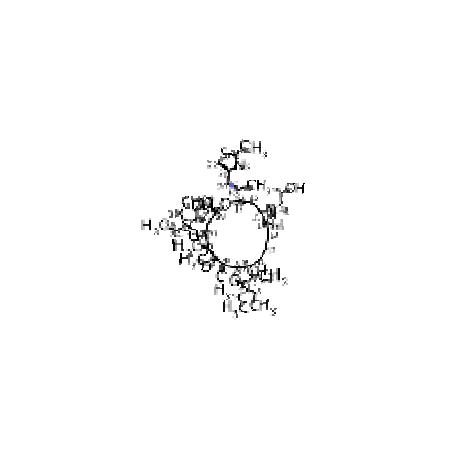 CC[Si](CC)(CC)O[C@H]1[C@@H](C)CCC[C@@H]2C(C[C@@H](/C(C)=C/c3csc(C)n3)OC(=O)C[C@H](O[Si](CC)(CC)CC)C(C)(C)C(=O)[C@@H]1C)[N@]2CCO